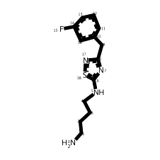 NCCCCNc1nc(Cc2cccc(F)c2)ns1